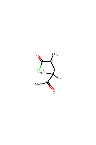 CCC(C)(CC(C)C(=O)Cl)C(=O)OC